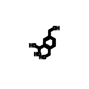 OCc1ccc(CO)c(B(O)O)c1